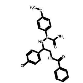 NC(=O)N(NC(CNC(=O)c1ccccc1)c1ccc(Cl)cc1)c1ccc(OC(F)(F)F)cc1